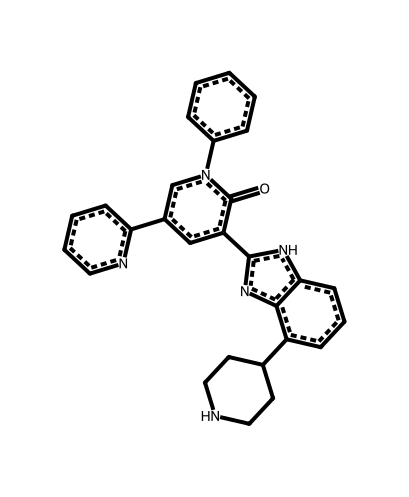 O=c1c(-c2nc3c(C4CCNCC4)cccc3[nH]2)cc(-c2ccccn2)cn1-c1ccccc1